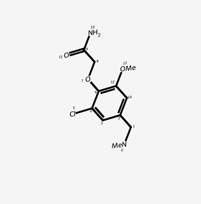 CNCc1cc(Cl)c(OCC(N)=O)c(OC)c1